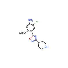 COc1cc(N)c(Cl)cc1-c1nc(C2CCNCC2)no1